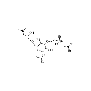 CCC(CC)OC1OC(COCC(O)CN(C)C)C(O)C(OCC[N+](CC)(CC)CCN(CC)CC)C1O